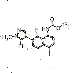 Cc1c(-c2ccc3c(I)cnc(NC(=O)OC(C)(C)C)c3c2F)cnn1C